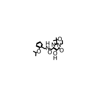 CC(C)Oc1ccccc1CNC(=O)c1nc2n(c(=O)c1O)CCOC2(C)C